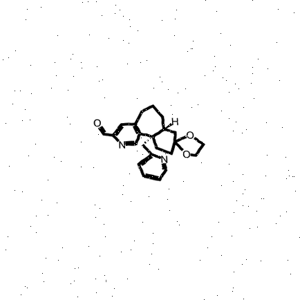 O=Cc1cc2c(cn1)[C@]1(Cc3ccccn3)CCC3(C[C@H]1CCC2)OCCO3